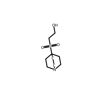 O=S(=O)(CCO)C12CCN(CC1)CC2